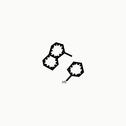 Cc1cccc2ccccc12.Sc1ccccc1